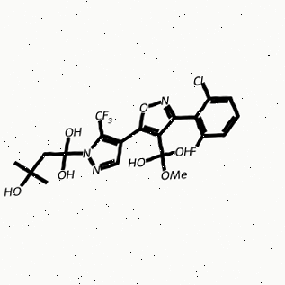 COC(O)(O)c1c(-c2c(F)cccc2Cl)noc1-c1cnn(C(O)(O)CC(C)(C)O)c1C(F)(F)F